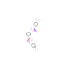 O=[N+]([O-])c1ccc(-c2noc(-c3cccc(-c4nc(-c5ccc([N+](=O)[O-])cc5)no4)c3)n2)cc1